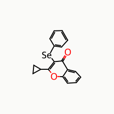 O=c1c([Se]c2ccccc2)c(C2CC2)oc2ccccc12